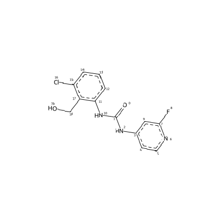 O=C(Nc1ccnc(F)c1)Nc1cccc(Cl)c1CO